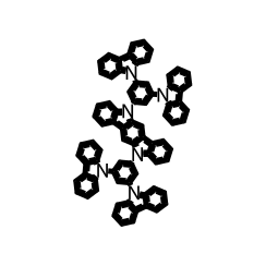 c1ccc2c(c1)c1ccccc1n2-c1cc(-n2c3ccccc3c3ccccc32)cc(-n2c3ccccc3c3cc4c(cc32)c2ccccc2n4-c2cc(-n3c4ccccc4c4ccccc43)cc(-n3c4ccccc4c4ccccc43)c2)c1